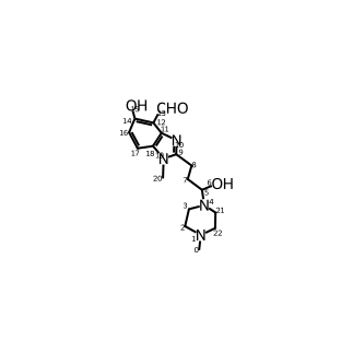 CN1CCN(C(O)CCc2nc3c(C=O)c(O)ccc3n2C)CC1